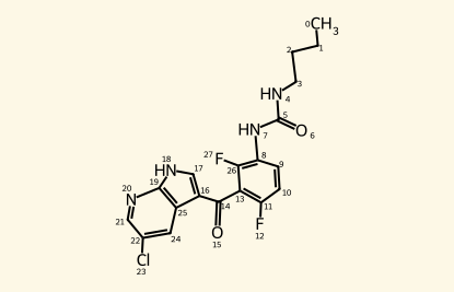 CCCCNC(=O)Nc1ccc(F)c(C(=O)c2c[nH]c3ncc(Cl)cc23)c1F